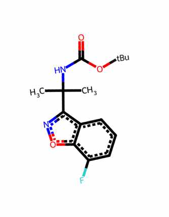 CC(C)(C)OC(=O)NC(C)(C)c1noc2c(F)cccc12